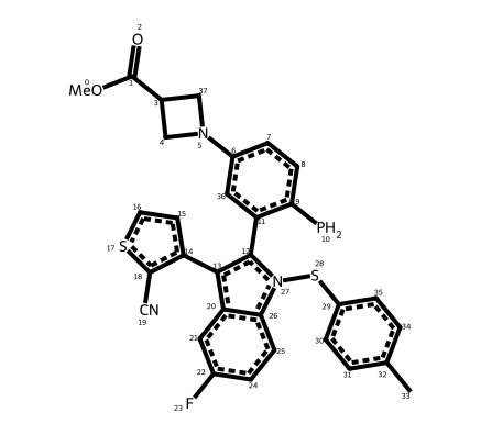 COC(=O)C1CN(c2ccc(P)c(-c3c(-c4ccsc4C#N)c4cc(F)ccc4n3Sc3ccc(C)cc3)c2)C1